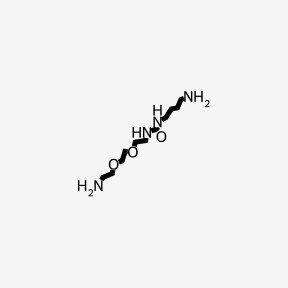 NCCCCNC(=O)NCCOCCOCCN